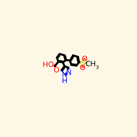 CS(=O)(=O)c1ccc(-c2cccc(C(=O)O)c2-c2cn[nH]c2)cc1